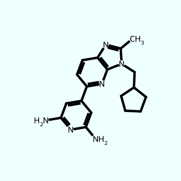 Cc1nc2ccc(-c3cc(N)nc(N)c3)nc2n1CC1CCCC1